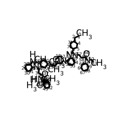 CCCC1CCC(c2nc3c(N4CCOC(CC(C)(C)[C@H]5CC[C@@H](C6(C)Nc7ccccc7N6CCC(=O)N[C@@H]6CC7CC[C@]6(C)C7(C)C)CC5)C4)cccc3n2CCC(=O)N(CC)C2CCCCC2)CC1